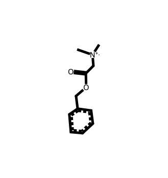 C[N+](C)CC(=O)OCc1ccccc1